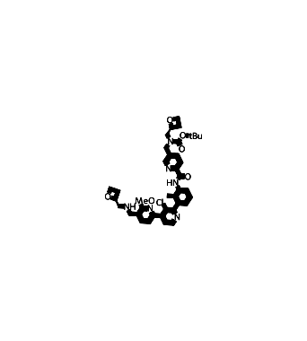 COc1nc(-c2ccnc(-c3cccc(NC(=O)c4ccc(CN(C[C@@H]5CCO5)C(=O)OC(C)(C)C)cn4)c3C)c2Cl)ccc1CNC[C@@H]1CCO1